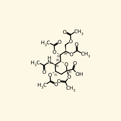 CC(=O)N[C@H]1[C@H]([C@H](OC(C)=O)[C@@H](COC(C)=O)OC(C)=O)O[C@](OC(C)=O)(C(=O)O)C[C@@H]1OC(C)=O